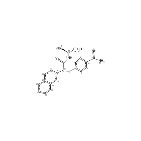 CCCC[C@H](NC(=O)[C@H](Cc1ccc(C(=N)N)cc1)c1ccc2ccccc2c1)C(=O)O